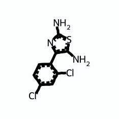 Nc1nc(-c2ccc(Cl)cc2Cl)c(N)s1